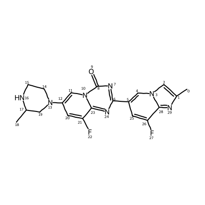 Cc1cn2cc(-c3nc(=O)n4cc(N5CCNC(C)C5)cc(F)c4n3)cc(F)c2n1